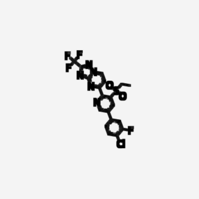 CCS(=O)(=O)c1cc(-c2ccc(Cl)c(F)c2)cnc1-c1ccn2nc(C(F)(F)F)nc2n1